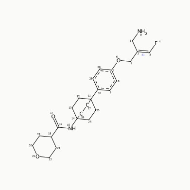 NC/C(=C\F)COc1ccc(C23CCC(NC(=O)C4CCOCC4)(CC2)CC3)cc1